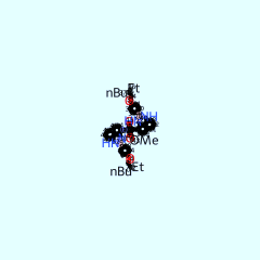 CCCCC(CC)COc1ccc(B2N=c3/c(=C4/C(=O)C(c5ccc6cccc7c6c5NB(c5ccc(OCC(CC)CCCC)cc5)N7)=C4OOC)ccc4cccc(c34)N2)cc1